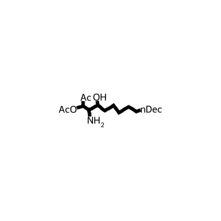 CCCCCCCCCCCCCCCC(O)C(N)C(OC(C)=O)C(C)=O